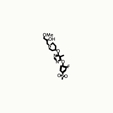 COC[C@H](O)CN1CCC(Oc2ncnc(Oc3ccc(S(C)(=O)=O)cc3F)c2C)CC1